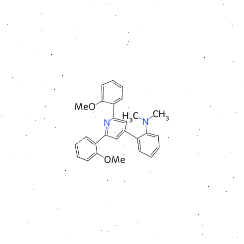 COc1ccccc1-c1cc(-c2ccccc2N(C)C)cc(-c2ccccc2OC)n1